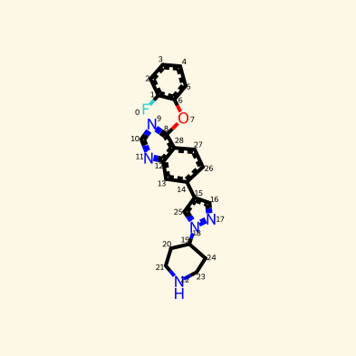 Fc1ccccc1Oc1ncnc2cc(-c3cnn(C4CCNCC4)c3)ccc12